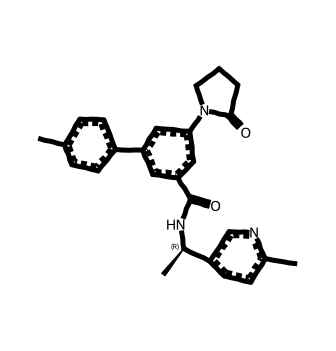 Cc1ccc(-c2cc(C(=O)N[C@H](C)c3ccc(C)nc3)cc(N3CCCC3=O)c2)cc1